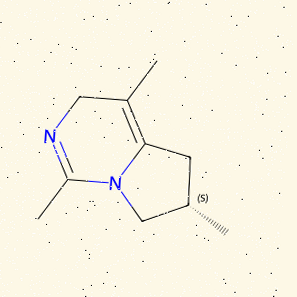 CC1=NCC(C)=C2C[C@H](C)CN12